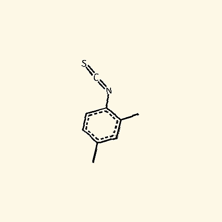 Cc1ccc(N=C=S)c(C)c1